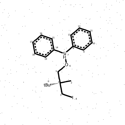 CC(C)(C)[C@](C)(CI)CO[SiH](c1ccccc1)c1ccccc1